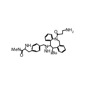 CCC(C)C1c2ccccc2CN(C(=O)CCN)c2ccccc2C1N(N)Cc1ccc(CC(N)C(=O)NC)cc1